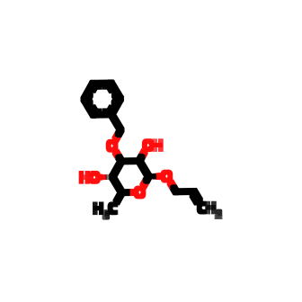 C=CCO[C@H]1OC(C)[C@H](O)C(OCc2ccccc2)C1O